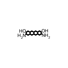 Nc1cc2cc3cc4cc(N)c(O)cc4cc3cc2cc1O